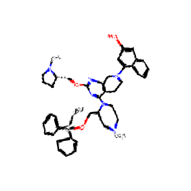 CN1CCC[C@H]1COc1nc2c(c(N3CCN(C(=O)O)CC3CO[Si](c3ccccc3)(c3ccccc3)C(C)(C)C)n1)CCN(c1cc(O)cc3ccccc13)C2